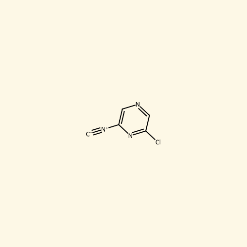 [C-]#[N+]c1cncc(Cl)n1